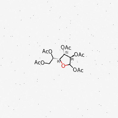 CC(=O)OCC(OC(C)=O)[C@H]1OC(OC(C)=O)[C@H](OC(C)=O)[C@H]1OC(C)=O